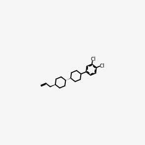 C=CC[C@H]1CC[C@H](C2CCC(c3ccc(Cl)c(Cl)c3)CC2)CC1